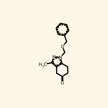 Cc1nn(COCc2ccccc2)c2c1CC(=O)CC2